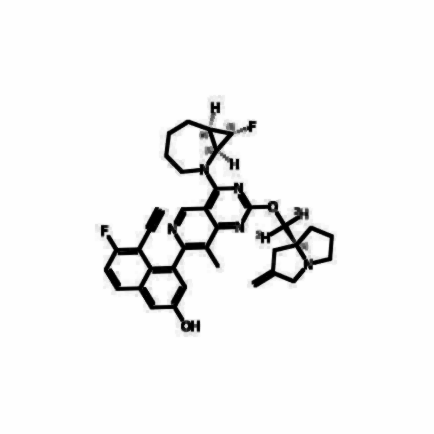 [2H]C([2H])(Oc1nc(N2CCCC[C@H]3[C@H](F)[C@H]32)c2cnc(-c3cc(O)cc4ccc(F)c(C#C)c34)c(C)c2n1)[C@@]12CCCN1CC(=C)C2